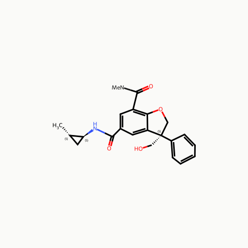 CNC(=O)c1cc(C(=O)N[C@H]2C[C@@H]2C)cc2c1OC[C@@]2(CO)c1ccccc1